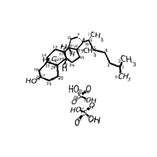 CC(C)CCC[C@@H](C)[C@H]1CC[C@H]2[C@@H]3CC=C4C[C@@H](O)CC[C@]4(C)[C@H]3CC[C@]12C.O=S(=O)(O)O.O=S(=O)(O)O